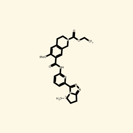 COc1cc2c(cc1C(=O)Nc1cccc(-c3nnc4n3[C@@H](C)CC4)n1)CN(C(=O)OCC(F)(F)F)CC2